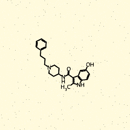 Cc1[nH]c2ccc(O)cc2c1C(=O)NC1CCN(CCCc2ccccc2)CC1